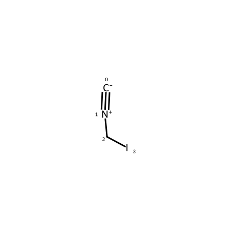 [C-]#[N+]CI